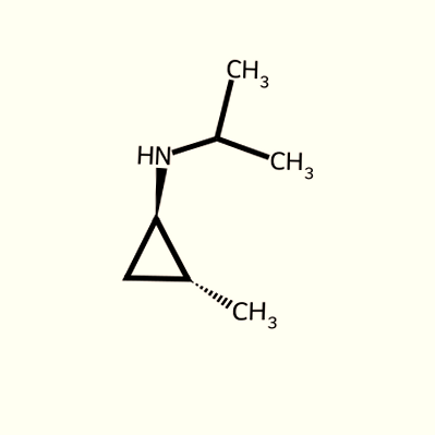 CC(C)N[C@@H]1C[C@H]1C